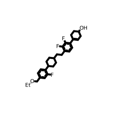 CCOCc1ccc(C2CCC(CCc3ccc(C4=CCC(O)CC4)c(F)c3F)CC2)c(F)c1